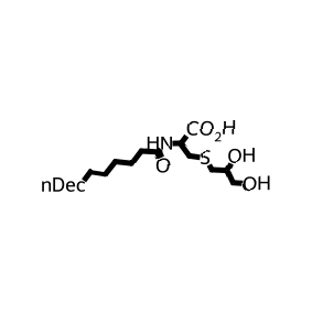 CCCCCCCCCCCCCCCC(=O)NC(CSCC(O)CO)C(=O)O